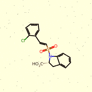 O=C(O)[C@H]1Cc2ccccc2N1S(=O)(=O)/C=C/c1ccccc1Cl